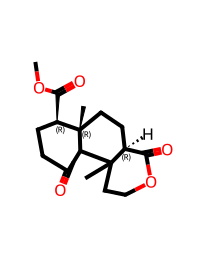 COC(=O)[C@@H]1CCC(=O)C2C3(C)CCOC(=O)[C@@H]3CC[C@]21C